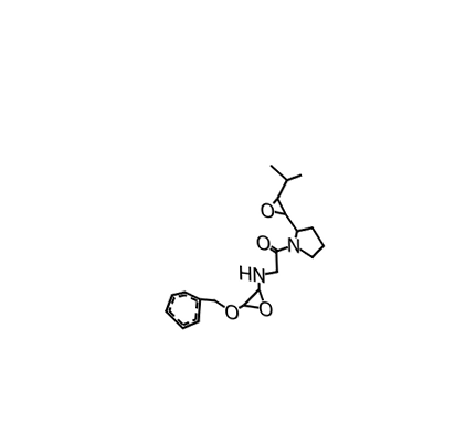 CC(C)C1OC1C1CCCN1C(=O)CNC1OC1OCc1ccccc1